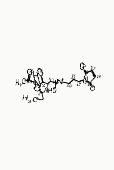 CCC(=O)NC(CC(=O)NCCCN1C(=O)C=CC1=O)C(=O)NC(C)=O